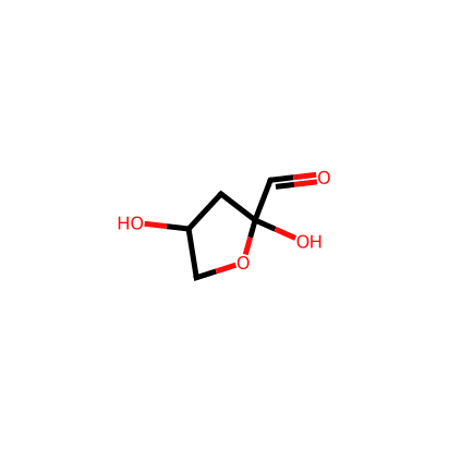 O=CC1(O)CC(O)CO1